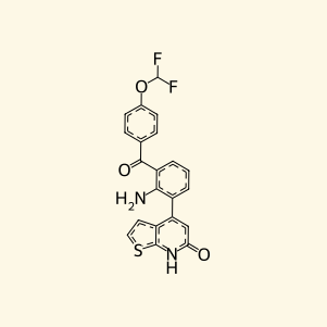 Nc1c(C(=O)c2ccc(OC(F)F)cc2)cccc1-c1cc(=O)[nH]c2sccc12